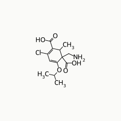 CC(C)OC1=CC(Cl)=C(C(=O)O)C(C)C1(CN)C(=O)O